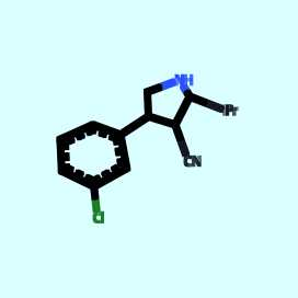 CC(C)C1NCC(c2cccc(Cl)c2)C1C#N